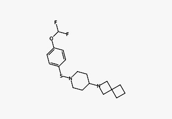 FC(F)Oc1ccc(SN2CCC(N3CC4(CCC4)C3)CC2)cc1